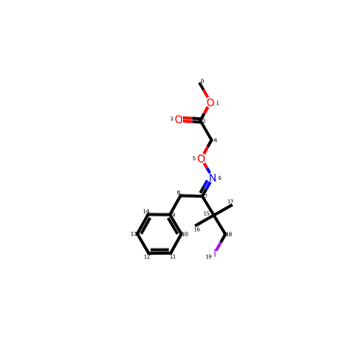 COC(=O)CO/N=C(\Cc1ccccc1)C(C)(C)CI